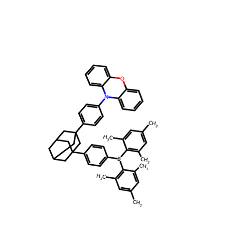 Cc1cc(C)c(B(c2ccc(C34CC5CC(C3)CC(c3ccc(N6c7ccccc7Oc7ccccc76)cc3)(C5)C4)cc2)c2c(C)cc(C)cc2C)c(C)c1